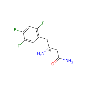 NC(=O)C[C@H](N)Cc1cc(F)c(F)cc1F